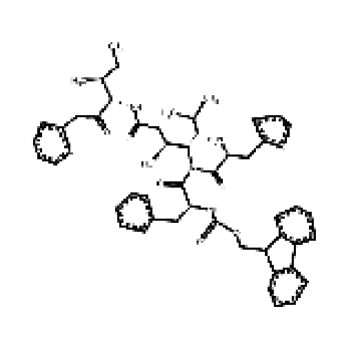 CC[C@H](C)[C@H](NC(=O)C[C@H](O)[C@H](CC(C)C)N(C(=O)[C@H](Cc1ccccc1)NC(=O)OCC1c2ccccc2-c2ccccc21)C(=O)[C@@H](N)Cc1cccs1)C(=O)[CH]c1ccccn1